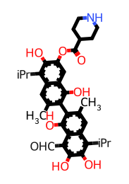 Cc1cc2c(C(C)C)c(O)c(OC(=O)C3CCNCC3)cc2c(O)c1-c1c(C)cc2c(C(C)C)c(O)c(O)c(C=O)c2c1O